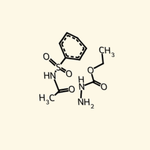 CC(=O)NS(=O)(=O)c1ccccc1.CCOC(=O)NN